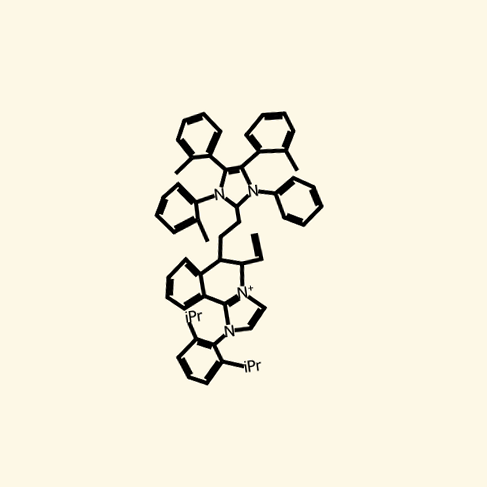 C=CC1C(CCC2N(c3ccccc3)C(c3ccccc3C)=C(c3ccccc3C)N2c2ccccc2C)c2ccccc2-c2n(-c3c(C(C)C)cccc3C(C)C)cc[n+]21